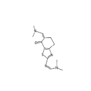 CN(C)/C=N\c1nc2c(s1)C(=O)/C(=C\N(C)C)CC2